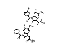 COc1cc2c(C(C)C(=O)O)c(C)n(C(=O)c3ccc(Cl)s3)c2cc1F.COc1cc2c(CC(=O)O)c(C)n(C(=O)C3CCCCC3)c2cc1F